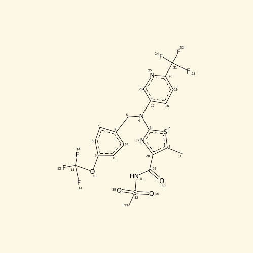 Cc1sc(N(Cc2ccc(OC(F)(F)F)cc2)c2ccc(C(F)(F)F)nc2)nc1C(=O)NS(C)(=O)=O